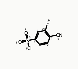 N#Cc1ccc(S(=O)(=O)Cl)cc1F